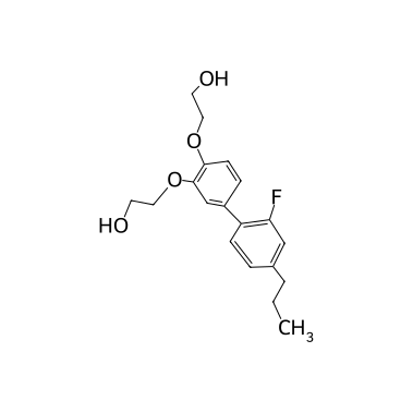 CCCc1ccc(-c2ccc(OCCO)c(OCCO)c2)c(F)c1